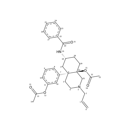 C=CCN1CC[C@@]2(c3cccc(OC(C)=O)c3)C[C@H](NC(=O)c3ccccc3)CC[C@]2(OC(C)=O)C1